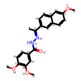 COc1ccc2cc(C(C)=NNC(=O)c3ccc(OC)c(OC)c3)ccc2c1